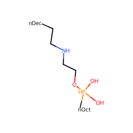 CCCCCCCCCCCCNCCO[PH](O)(O)CCCCCCCC